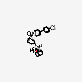 O=C(N1CC=C(c2ccc(Cl)cc2)CC1)N1CCC[C@H](NC(=O)C23CC4CC(C2)C(O)C(C4)C3)C1